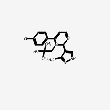 Cc1n[nH]cc1C1N=CC=C(c2ccc(Cl)cc2)N1CC(C)(C)O